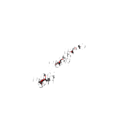 O=[C]COCCOCCNC(=O)COCCOCCNC(=O)CC[C@H](NC(=O)CCCCCCCCCCCNC(=O)CC[C@H](NC(=O)Cc1ccccc1)C(=O)O)C(=O)O